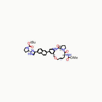 COC(=O)N[C@H]1C/C=C/COCc2cc(-c3ccc4cc(-c5c[nH]c([C@@H]6CCCN6C(=O)OC(C)(C)C)n5)ccc4c3)ccc2NC(=O)[C@@H]2CCCN2C1=O